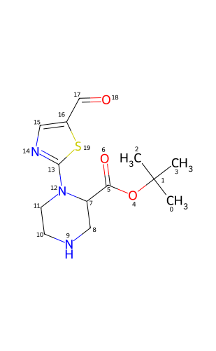 CC(C)(C)OC(=O)C1CNCCN1c1ncc(C=O)s1